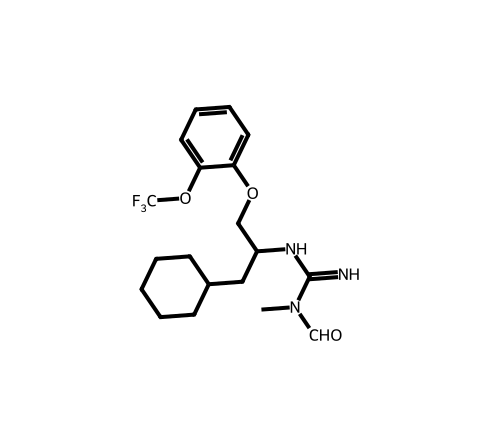 CN(C=O)C(=N)NC(COc1ccccc1OC(F)(F)F)CC1CCCCC1